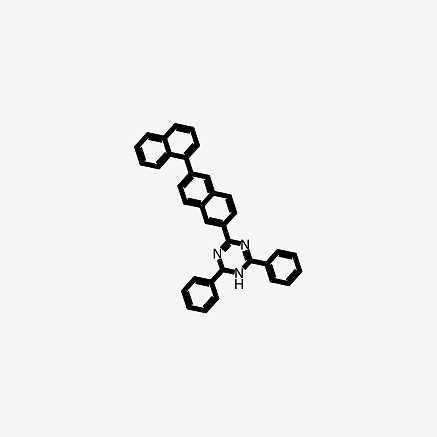 c1ccc(C2=NC(c3ccc4cc(-c5cccc6ccccc56)ccc4c3)=NC(c3ccccc3)N2)cc1